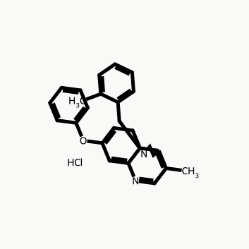 CC1=C2CCN(Cc3ccccc3C)C23CC=C(Oc2ccccc2)C=C3N=C1.Cl